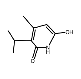 Cc1cc(O)[nH]c(=O)c1C(C)C